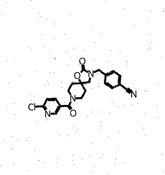 N#Cc1ccc(CN2CC3(CCN(C(=O)c4ccc(Cl)nc4)CC3)OC2=O)cc1